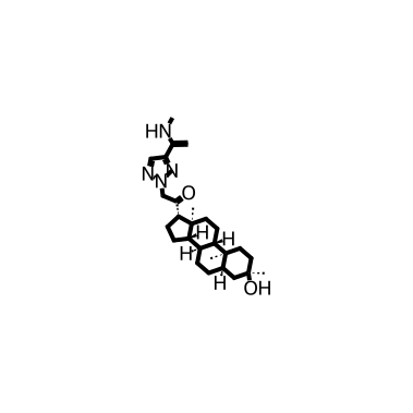 C=C(NC)c1cnn(CC(=O)[C@H]2CC[C@H]3[C@@H]4CC[C@@H]5C[C@](C)(O)CC[C@]5(C)[C@H]4CC[C@]23C)n1